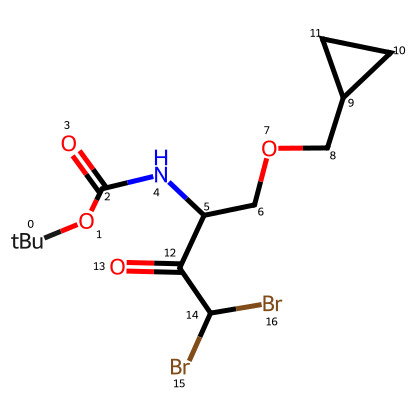 CC(C)(C)OC(=O)NC(COCC1CC1)C(=O)C(Br)Br